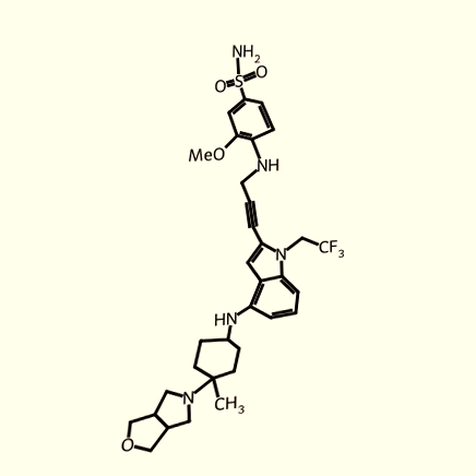 COc1cc(S(N)(=O)=O)ccc1NCC#Cc1cc2c(NC3CCC(C)(N4CC5COCC5C4)CC3)cccc2n1CC(F)(F)F